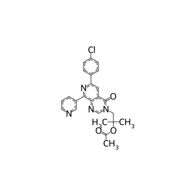 CC(=O)OC(C)(C)Cn1cnc2c(-c3cccnc3)nc(-c3ccc(Cl)cc3)cc2c1=O